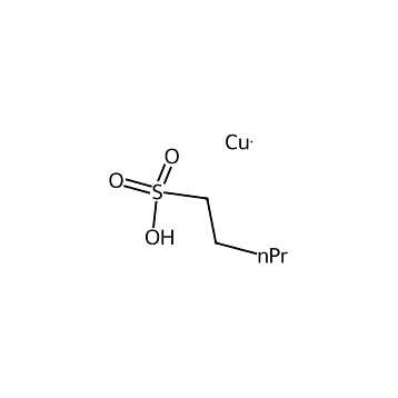 CCCCCS(=O)(=O)O.[Cu]